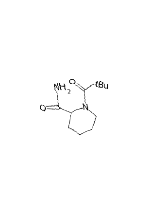 CC(C)(C)C(=O)N1CCCCC1C(N)=O